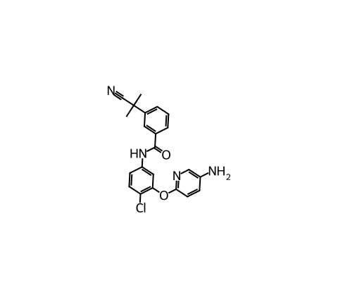 CC(C)(C#N)c1cccc(C(=O)Nc2ccc(Cl)c(Oc3ccc(N)cn3)c2)c1